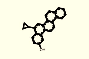 Oc1ccc2c(C3CC3)cc3c(ccc4c5ccccc5ccc43)c2c1